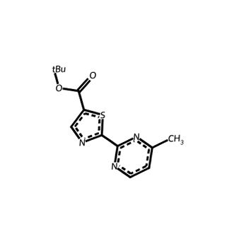 Cc1ccnc(-c2ncc(C(=O)OC(C)(C)C)s2)n1